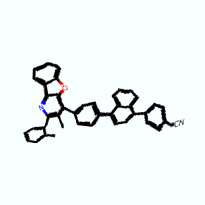 Cc1ccccc1-c1nc2c(oc3ccccc32)c(-c2ccc(-c3ccc(-c4ccc(C#N)cc4)c4ccccc34)cc2)c1C